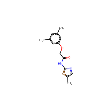 Cc1cc(C)cc(OCC(=O)Nc2ncc(C)s2)c1